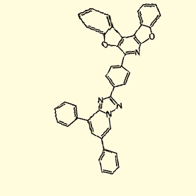 c1ccc(-c2cc(-c3ccccc3)c3nc(-c4ccc(-c5nc6oc7ccccc7c6c6c5oc5ccccc56)cc4)nn3c2)cc1